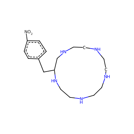 O=[N+]([O-])c1ccc(CC2CNCCNCCNCCNCCN2)cc1